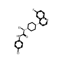 CCN(C(=O)Nc1ccc(Cl)cc1)[C@H]1CC[C@@H](c2ccnc3ccc(F)cc32)CC1